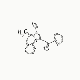 Cc1cc2ccccc2n2c(C(=O)c3ccccc3)cc(C#N)c12